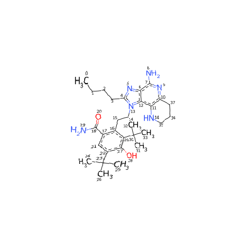 CCCCc1nc2c(N)nc3c(c2n1CCc1c(C(N)=O)cc(C(C)(C)C)c(O)c1C(C)(C)C)NCCC3